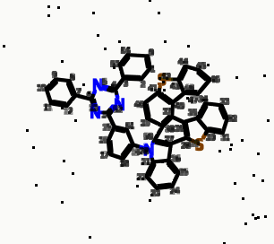 c1ccc(-c2nc(-c3ccccc3)nc(-c3cccc(-n4c5ccccc5c5c6sc7ccccc7c6c6c(ccc7sc8ccccc8c76)c54)c3)n2)cc1